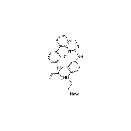 C=CC(=O)Nc1cc(Nc2ncc3cccc(-c4ccccc4Cl)c3n2)ccc1NCCNC